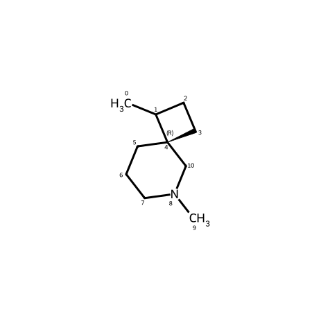 CC1CC[C@@]12CCCN(C)C2